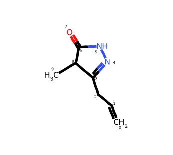 C=CCC1=NNC(=O)C1C